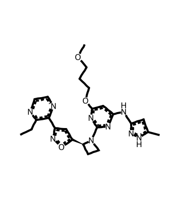 CCc1nccnc1-c1cc([C@@H]2CCN2c2nc(Nc3cc(C)[nH]n3)cc(OCCCOC)n2)on1